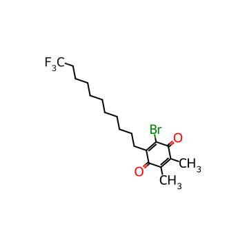 CC1=C(C)C(=O)C(CCCCCCCCCCC(F)(F)F)=C(Br)C1=O